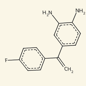 C=C(c1ccc(F)cc1)c1ccc(N)c(N)c1